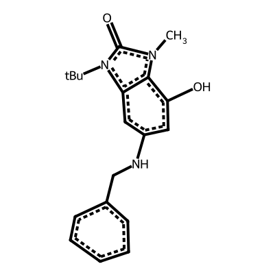 Cn1c(=O)n(C(C)(C)C)c2cc(NCc3ccccc3)cc(O)c21